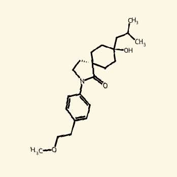 COCCc1ccc(N2CC[C@]3(CC[C@@](O)(CC(C)C)CC3)C2=O)cc1